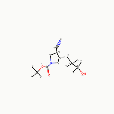 CC(C)(C)OC(=O)N1C[C@@H](CC(C)(C)[Si](C)(C)O)[C@H](C#N)C1